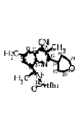 CC(=N[S+]([O-])C(C)(C)C)c1cc(C)cc2c(C#N)c(C)c(C3CCOCC3)nc12